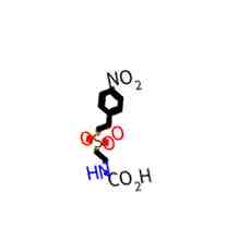 O=C(O)NCCS(=O)(=O)CC(=O)c1ccc([N+](=O)[O-])cc1